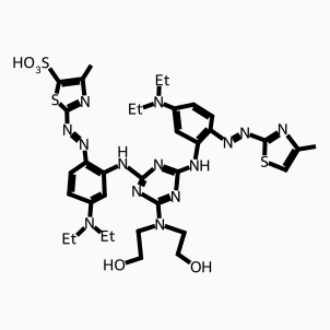 CCN(CC)c1ccc(/N=N/c2nc(C)cs2)c(Nc2nc(Nc3cc(N(CC)CC)ccc3/N=N/c3nc(C)c(S(=O)(=O)O)s3)nc(N(CCO)CCO)n2)c1